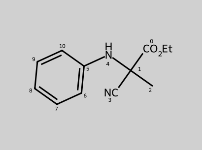 CCOC(=O)C(C)(C#N)Nc1ccccc1